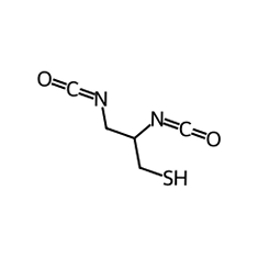 O=C=NCC(CS)N=C=O